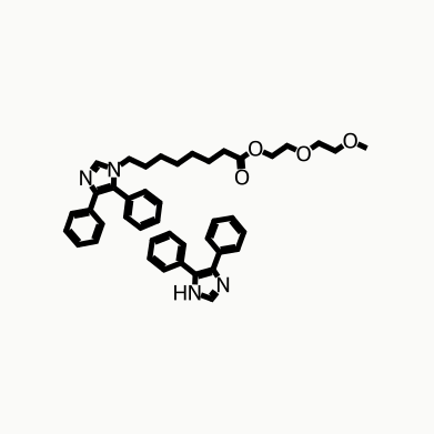 COCCOCCOC(=O)CCCCCCCn1cnc(-c2ccccc2)c1-c1ccccc1.c1ccc(-c2nc[nH]c2-c2ccccc2)cc1